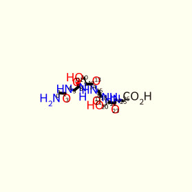 NCC(=O)NCC(=O)N[C@@H](CO)C(=O)NCC(=O)N[C@@H](CO)C(=O)NCC(=O)O